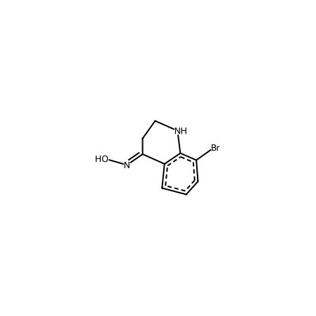 O/N=C1\CCNc2c(Br)cccc21